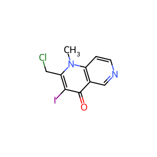 Cn1c(CCl)c(I)c(=O)c2cnccc21